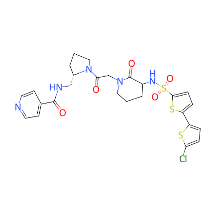 O=C(NC[C@@H]1CCCN1C(=O)CN1CCCC(NS(=O)(=O)c2ccc(-c3ccc(Cl)s3)s2)C1=O)c1ccncc1